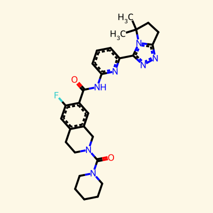 CC1(C)CCc2nnc(-c3cccc(NC(=O)c4cc5c(cc4F)CCN(C(=O)N4CCCCC4)C5)n3)n21